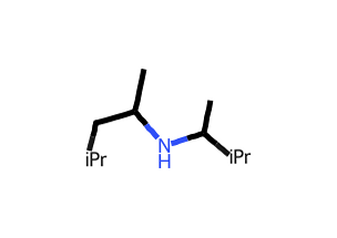 CC(C)CC(C)NC(C)C(C)C